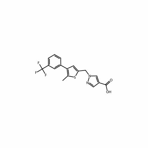 Cc1sc(Cn2cc(C(=O)O)cn2)cc1-c1cccc(C(F)(F)F)c1